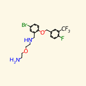 NCCOCCNCc1cc(Br)ccc1OCc1ccc(F)c(C(F)(F)F)c1